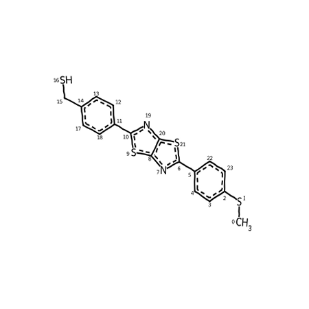 CSc1ccc(-c2nc3sc(-c4ccc(CS)cc4)nc3s2)cc1